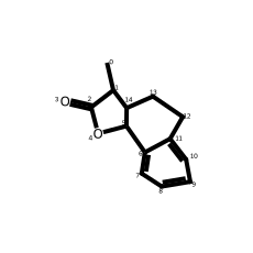 CC1C(=O)OC2c3ccccc3CCC12